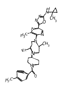 CCC1CN(c2ncc(-c3nnc(NC4(C)CC4)o3)nc2C)C(C)CN1C1CCN(C(=O)c2ccc(C)cc2)CC1